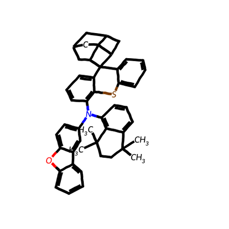 CC1(C)CCC(C)(C)c2c(N(c3ccc4oc5ccccc5c4c3)c3cccc4c3Sc3ccccc3C43C4CC5CC6CC3C64C5)cccc21